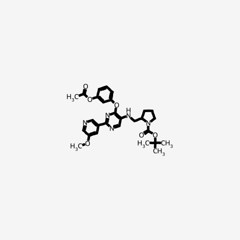 COc1cncc(-c2ncc(NCC3CCCN3C(=O)OC(C)(C)C)c(Oc3cccc(OC(C)=O)c3)n2)c1